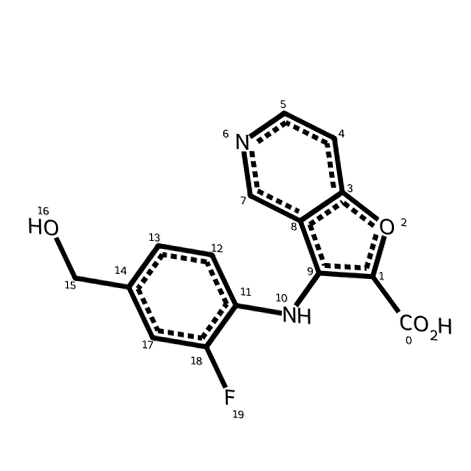 O=C(O)c1oc2ccncc2c1Nc1ccc(CO)cc1F